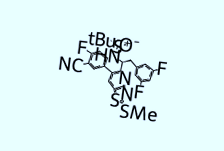 CSc1nc2nc([C@H](Cc3cc(F)cc(F)c3)N[S@@+]([O-])C(C)(C)C)c(-c3ccc(F)c(C#N)c3)cc2s1